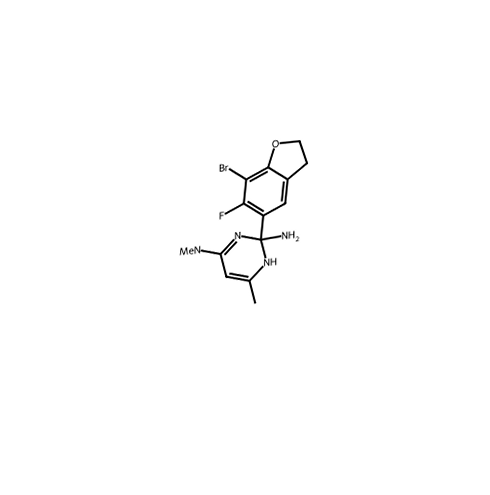 CNC1=NC(N)(c2cc3c(c(Br)c2F)OCC3)NC(C)=C1